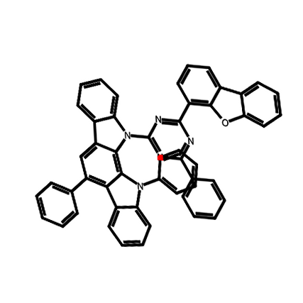 c1ccc(-c2nc(-c3cccc4c3oc3ccccc34)nc(-n3c4ccccc4c4cc(-c5ccccc5)c5c6ccccc6n(-c6ccccc6)c5c43)n2)cc1